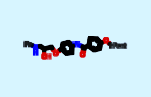 CCCCCOc1ccc(C(=O)Nc2ccc(OCC(O)CNC(C)C)cc2)cc1